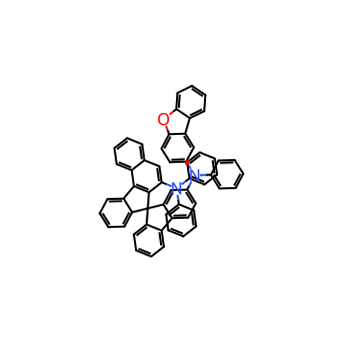 c1ccc(N(c2ccc3c(c2)C2(c4ccccc4-3)c3ccccc3-c3c2c(N(c2ccccc2)c2ccccc2)cc2ccccc32)c2ccc3oc4ccccc4c3c2)cc1